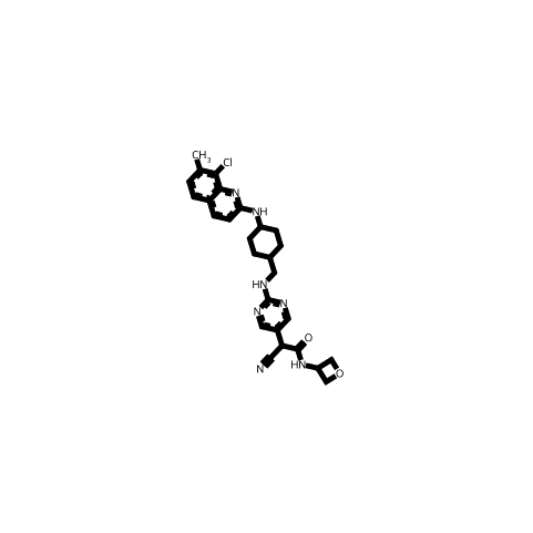 Cc1ccc2ccc(NC3CCC(CNc4ncc(C(C#N)C(=O)NC5COC5)cn4)CC3)nc2c1Cl